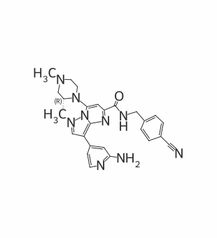 C[C@@H]1CN(C)CCN1c1cc(C(=O)NCc2ccc(C#N)cc2)nc2c(-c3ccnc(N)c3)cnn12